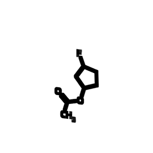 CC(=O)OC1CCC(F)C1